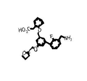 NCc1cccc(-c2cc(COc3ccccc3CC(=O)O)cc(OC[C@H]3CCCO3)c2)c1F